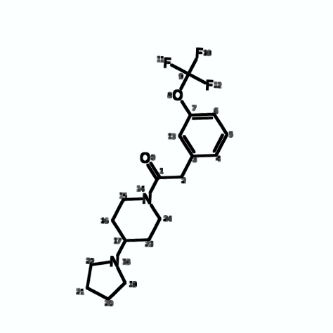 O=C(Cc1cccc(OC(F)(F)F)c1)N1CCC(N2CCCC2)CC1